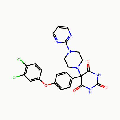 O=C1NC(=O)C(c2ccc(Oc3ccc(Cl)c(Cl)c3)cc2)(N2CCN(c3ncccn3)CC2)C(=O)N1